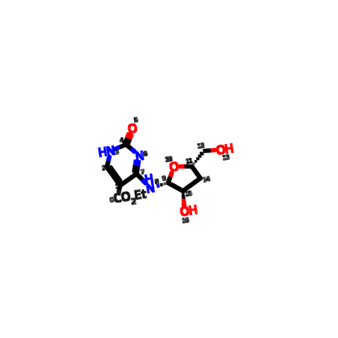 CCOC(=O)c1c[nH]c(=O)nc1N[C@@H]1O[C@H](CO)C[C@H]1O